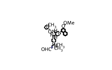 COCOc1cc(N2CC[C@@H]3C(N4CCN([C@@H](/C=C/C=O)N(C)C)CC4)=NC(OC[C@@H]4CCCN4C)=N[C@@H]3C2)c2ccccc2c1